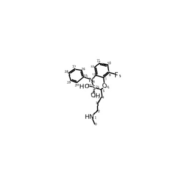 CNCCCC1Oc2c(F)cccc2N(c2ccccc2)S1(O)O